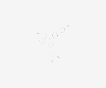 N#Cc1ccc(-c2ccc(N(c3ccc(-c4ccc(C#N)c(C#N)c4)cc3)c3ccc(C#N)c4ccccc34)cc2)cc1